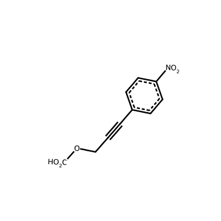 O=C(O)OCC#Cc1ccc([N+](=O)[O-])cc1